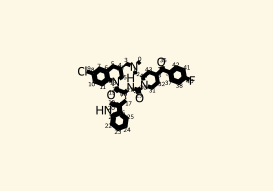 CN(C)C[C@@H]1Cc2cc(Cl)ccc2N(C(=O)[C@@H](Cc2c[nH]c3ccccc23)NC(=O)N2CCC(C(=O)c3ccc(F)cc3)CC2)C1